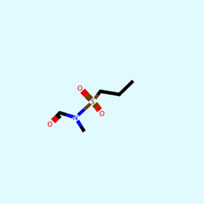 CCCS(=O)(=O)N(C)[C]=O